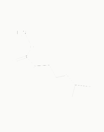 NOC(=O)CCCSC(F)F